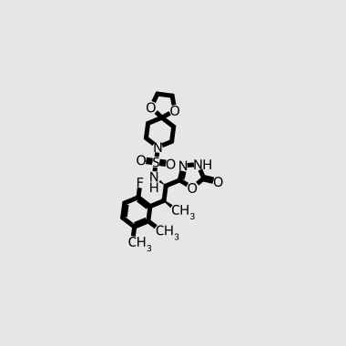 Cc1ccc(F)c([C@H](C)[C@H](NS(=O)(=O)N2CCC3(CC2)OCCO3)c2n[nH]c(=O)o2)c1C